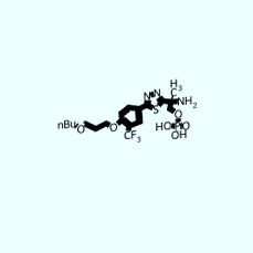 CCCCOCCCOc1ccc(-c2nnc([C@@](C)(N)COP(=O)(O)O)s2)cc1C(F)(F)F